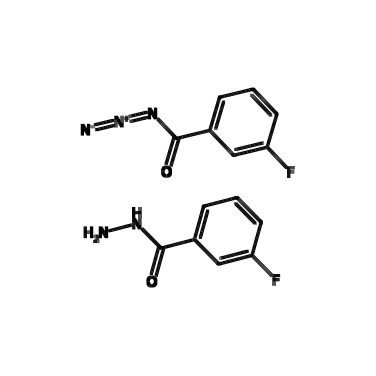 NNC(=O)c1cccc(F)c1.[N-]=[N+]=NC(=O)c1cccc(F)c1